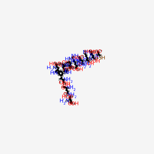 CC(C)[C@H](N)C(=O)O.N=C(N)NCCC[C@H](N)C(=O)O.NC(=O)CC[C@H](N)C(=O)O.NC(=O)C[C@H](N)C(=O)O.NCCCC[C@H](N)C(=O)O.N[C@@H](CC(=O)O)C(=O)O.N[C@@H](CCC(=O)O)C(=O)O.N[C@@H](CS)C(=O)O.N[C@@H](Cc1c[nH]c2ccccc12)C(=O)O.N[C@@H](Cc1c[nH]cn1)C(=O)O.O=C(O)[C@@H]1CCCN1